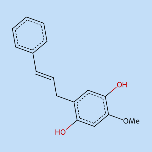 COc1cc(O)c(CC=Cc2ccccc2)cc1O